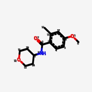 COc1ccc(C(=O)NC2CCOCC2)c(C)c1